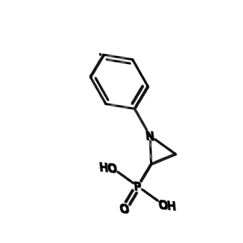 O=P(O)(O)C1CN1c1cc[c]cc1